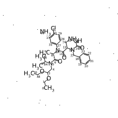 CCOC(CN(C(=O)C(C)N(C(=O)C(CN)N(Cc1ccccc1)C(=O)O)c1ccc(Cl)cc1)C(C)C)OCC.N